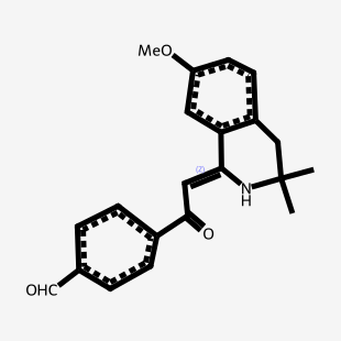 COc1ccc2c(c1)/C(=C/C(=O)c1ccc(C=O)cc1)NC(C)(C)C2